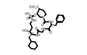 CCCS(=O)(=O)NCC[C@H](O)[C@H](CC1CCCCC1)NC(=O)CNC(=O)[C@H](Cc1ccccc1)NC(=O)N1CCC(C(=O)OCC)CC1